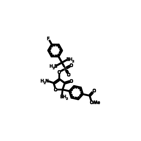 BC1(c2ccc(C(=O)OC)cc2)OC(N)=C(OS(=O)(=O)C(B)(B)c2ccc(F)cc2)C1=O